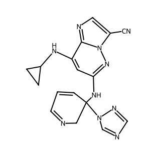 N#Cc1cnc2c(NC3CC3)cc(NC3(n4cncn4)C=CC=NC3)nn12